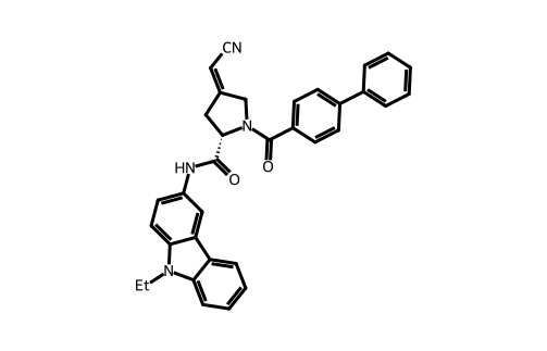 CCn1c2ccccc2c2cc(NC(=O)[C@@H]3CC(=CC#N)CN3C(=O)c3ccc(-c4ccccc4)cc3)ccc21